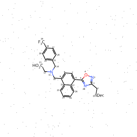 CCCCCCCCCCCc1noc(-c2ccc(CN(CC(=O)O)Cc3ccc(C(F)(F)F)cc3)c3ccccc23)n1